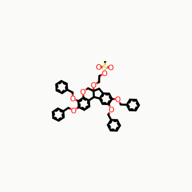 CS(=O)(=O)OCCOC12COc3c(ccc(OCc4ccccc4)c3OCc3ccccc3)C1c1cc(OCc3ccccc3)c(OCc3ccccc3)cc1C2